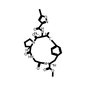 COC(=O)[C@@H]1Cc2ccc(cc2)C[C@H](C)[C@H](NC(=O)c2cc(C)on2)C(=O)N2CCC[C@H]2C(=O)NCC(=O)N1